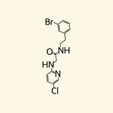 O=C(CNc1ccc(Cl)cn1)NCCc1cccc(Br)c1